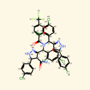 NC(=O)C1C(C(c2ccc(Cl)cc2Cl)N(C(=O)c2ccc(C(F)(F)F)cc2)C(C2=NNC(c3ccc(Cl)cc3)C2)c2ccc(Cl)cc2Cl)=NNC1c1ccc(Cl)cc1